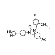 CC(=O)N1CCC2(CC1)CN(c1ccc(-c3cn[nH]c3)cc1)C(=O)N2Cc1ccc(F)cc1C